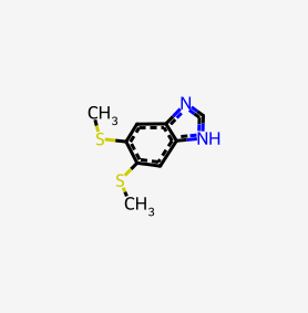 CSc1cc2nc[nH]c2cc1SC